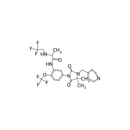 CC(NCC(F)(F)F)C(=O)Nc1cc(N2C(=O)N(Cc3ccncc3)C(C)(C)C2=O)ccc1OC(F)(F)F